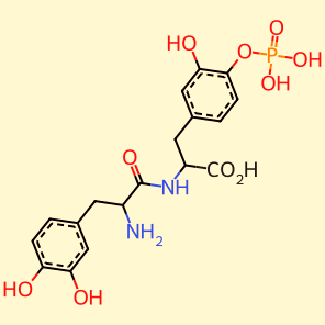 NC(Cc1ccc(O)c(O)c1)C(=O)NC(Cc1ccc(OP(=O)(O)O)c(O)c1)C(=O)O